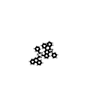 c1ccc(-c2nc(-c3cc4ccccc4c4ccccc34)nc(-c3cccc4c3cc(-c3ccccc3)c3c(-c5ccccc5)nn(-c5ccccc5)c34)n2)cc1